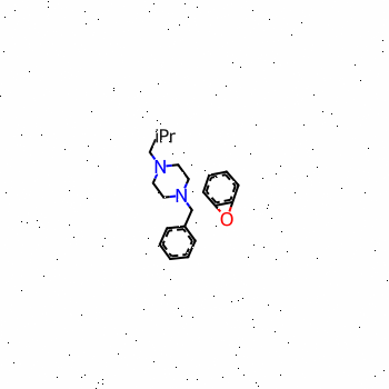 CC(C)CN1CCN(Cc2ccccc2)CC1.c1ccc2c(c1)O2